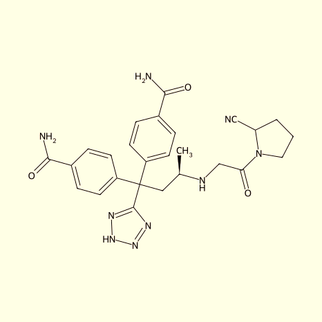 C[C@H](CC(c1ccc(C(N)=O)cc1)(c1ccc(C(N)=O)cc1)c1nn[nH]n1)NCC(=O)N1CCCC1C#N